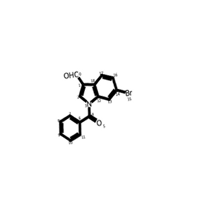 O=Cc1cn(C(=O)c2ccccc2)c2cc(Br)ccc12